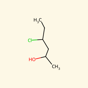 CCC(Cl)CC(C)O